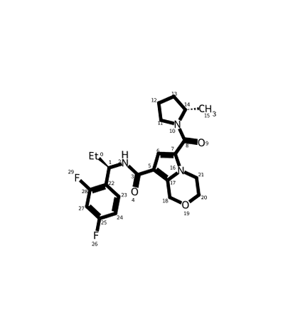 CC[C@@H](NC(=O)c1cc(C(=O)N2CCC[C@@H]2C)n2c1COCC2)c1ccc(F)cc1F